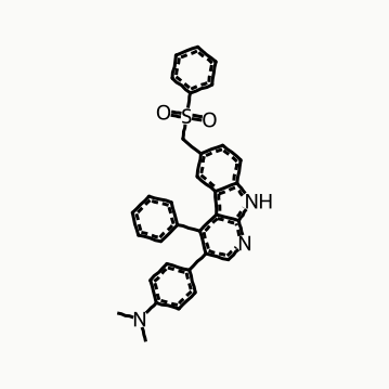 CN(C)c1ccc(-c2cnc3[nH]c4ccc(CS(=O)(=O)c5ccccc5)cc4c3c2-c2ccccc2)cc1